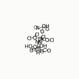 C[C@H]1C[C@H]2[C@@H]3CCC4=CC(=O)C=C[C@]4(C)[C@@]3(Cl)[C@@H](O)C[C@]2(C)[C@@]1(O)C(=O)CO.Clc1ccc(CO/N=C(\Cn2ccnc2)c2ccc(Cl)cc2Cl)c(Cl)c1.OC(CCN1CCCCC1)(c1ccccc1)C1CC2C=CC1C2